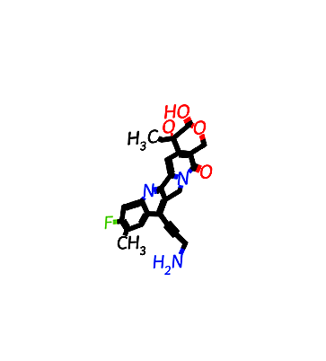 CC[C@@]1(O)C(=O)OCc2c1cc1n(c2=O)Cc2c-1nc1cc(F)c(C)cc1c2C#CCN